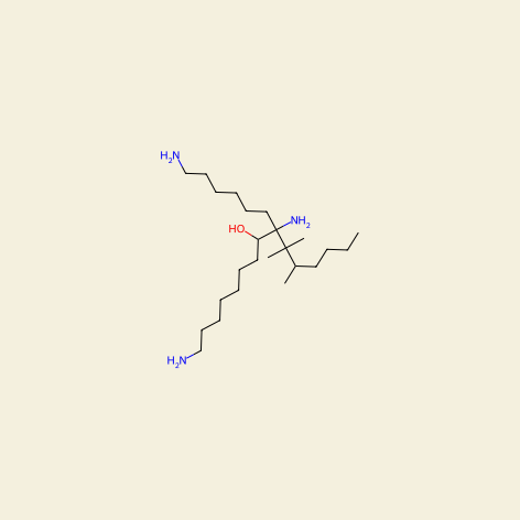 CCCCC(C)C(C)(C)C(N)(CCCCCCN)C(O)CCCCCCCN